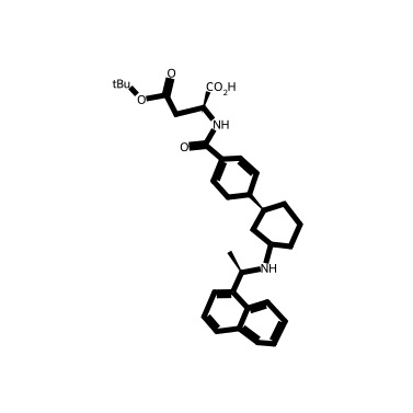 C[C@@H](NC1CCC[C@H](C2C=CC(C(=O)N[C@@H](CC(=O)OC(C)(C)C)C(=O)O)=CC2)C1)c1cccc2ccccc12